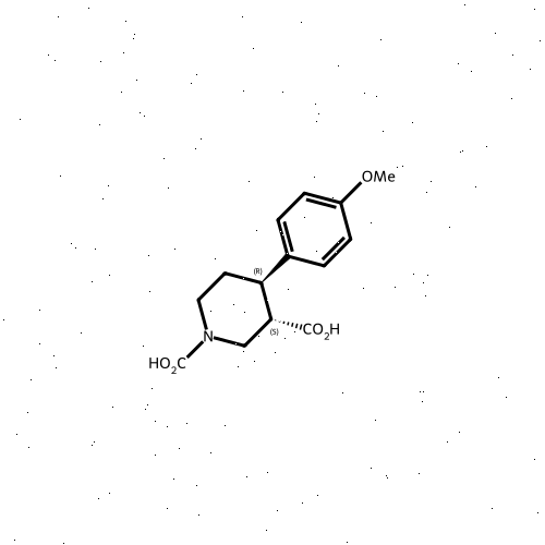 COc1ccc([C@@H]2CCN(C(=O)O)C[C@H]2C(=O)O)cc1